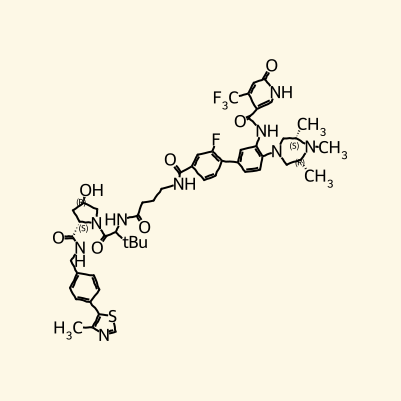 Cc1ncsc1-c1ccc(CNC(=O)[C@@H]2C[C@@H](O)CN2C(=O)C(NC(=O)CCCNC(=O)c2ccc(-c3ccc(N4C[C@@H](C)N(C)[C@@H](C)C4)c(NC(=O)c4c[nH]c(=O)cc4C(F)(F)F)c3)c(F)c2)C(C)(C)C)cc1